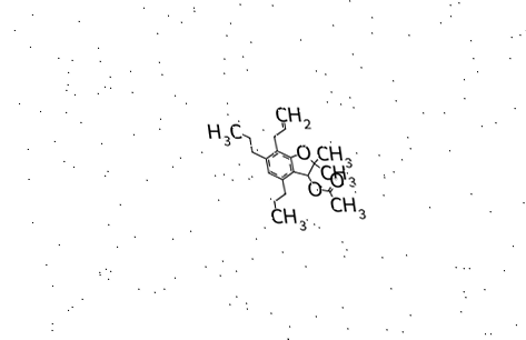 C=CCc1c(CCC)cc(CCC)c2c1OC(C)(C)C2OC(C)=O